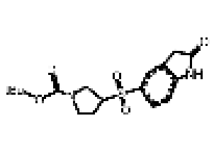 CC(C)(C)OC(=O)N1CCC(S(=O)(=O)c2ccc3c(c2)CC(=O)N3)C1